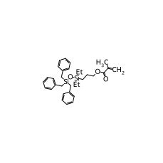 C=C(C)C(=O)OCCC[Si](CC)(CC)O[Si](Cc1ccccc1)(Cc1ccccc1)Cc1ccccc1